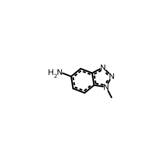 Cn1nnc2cc(N)ccc21